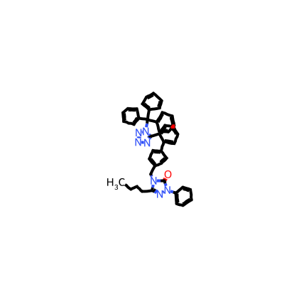 CCCCc1nn(-c2ccccc2)c(=O)n1Cc1ccc(-c2ccccc2-c2nnnn2C(c2ccccc2)(c2ccccc2)c2ccccc2)cc1